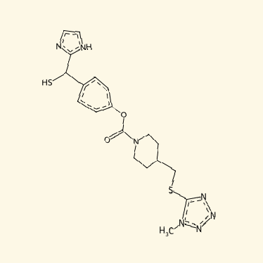 Cn1nnnc1SCC1CCN(C(=O)Oc2ccc(C(S)c3ncc[nH]3)cc2)CC1